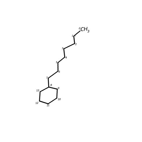 C[CH]CCCCCCC1CCCCC1